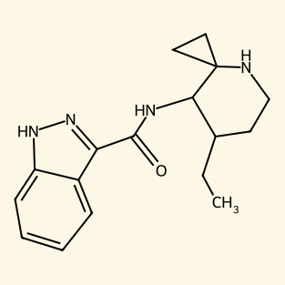 CCC1CCNC2(CC2)C1NC(=O)c1n[nH]c2ccccc12